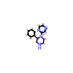 c1ccc(C2CNCCN2c2cnccn2)cc1